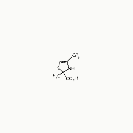 CC1(C(=O)O)NC(C(F)(F)F)=CS1